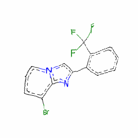 FC(F)(F)c1ccccc1-c1cn2cccc(Br)c2n1